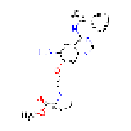 COC(=O)[C@H]1CCCN1CCOc1cc2ncnc(N[C@H](C)c3ccccc3)c2cc1N